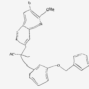 CCc1cc2ccc(C(C)(C#N)Cc3cccc(OCc4ccccc4)c3)cc2nc1OC